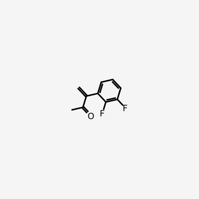 C=C(C(C)=O)c1cccc(F)c1F